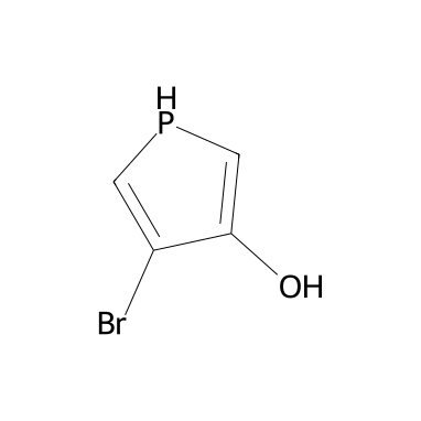 Oc1c[pH]cc1Br